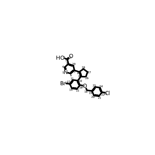 O=C(O)c1cncc(C2=C(c3cc(Br)ccc3OCc3ccc(Cl)cc3)CCC2)c1